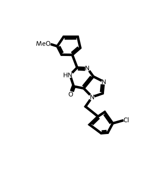 COc1cccc(-c2nc3ncn(Cc4cccc(Cl)c4)c3c(=O)[nH]2)c1